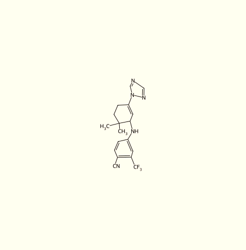 CC1(C)CCC(n2cncn2)=CC1Nc1ccc(C#N)c(C(F)(F)F)c1